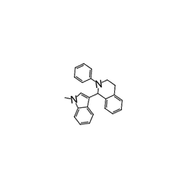 Cn1cc(C2c3ccccc3CCN2c2ccccc2)c2ccccc21